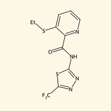 CCSc1cccnc1C(=O)Nc1nnc(C(F)(F)F)s1